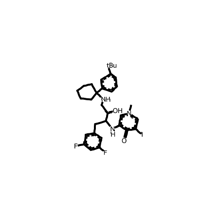 Cn1cc(I)c(=O)c(NC(Cc2cc(F)cc(F)c2)C(O)CNC2(c3cccc(C(C)(C)C)c3)CCCCC2)c1